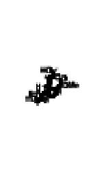 CCN[C@@H]([C@H](C)[C@H](C)O)[C@@H]1O[C@]23C[C@H]1C=C[C@@H]2C[C@H](OC)C(=O)O[C@H]([C@@H](C)O)[C@H](C)/C=C/3C